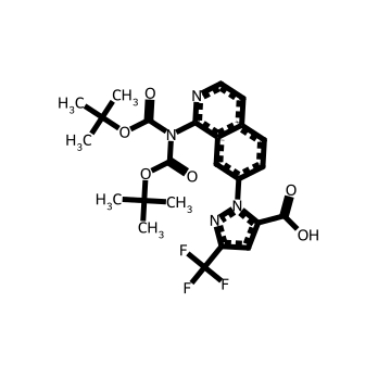 CC(C)(C)OC(=O)N(C(=O)OC(C)(C)C)c1nccc2ccc(-n3nc(C(F)(F)F)cc3C(=O)O)cc12